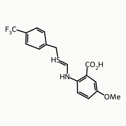 COc1ccc(NC=[SH]Cc2ccc(C(F)(F)F)cc2)c(C(=O)O)c1